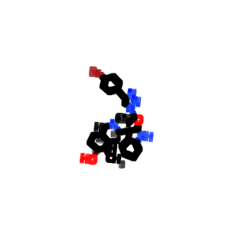 C[C@@H]1[C@H]2C[C@@H]([C@@]3(CCn4cc(-c5ccc(Br)cc5)nn4)C(=O)Nc4ccccc43)N(C#N)C[C@@H]2CC[C@@H]1O